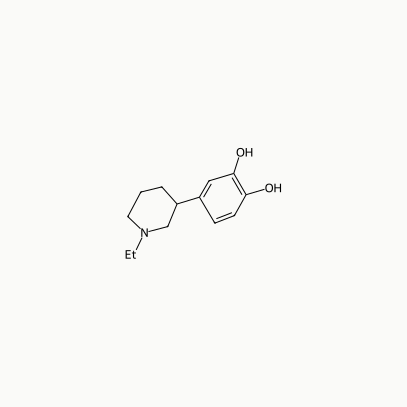 CCN1CCCC(c2ccc(O)c(O)c2)C1